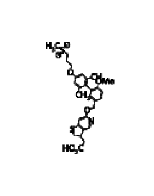 COc1ccc(COc2cc3c(cn2)C(CC(=O)O)CS3)cc1-c1c(C)cc(OCCCS(C)(=O)=O)cc1C